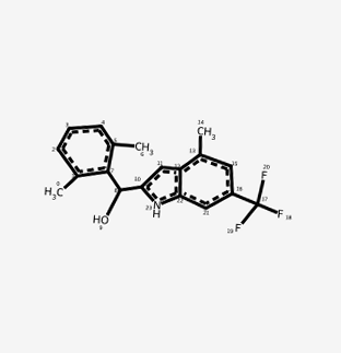 Cc1[c]ccc(C)c1C(O)c1cc2c(C)cc(C(F)(F)F)cc2[nH]1